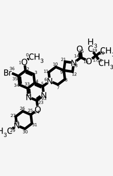 COc1cc2c(N3CCC4(CC3)CN(C(=O)OC(C)(C)C)C4)nc(OC3CCN(C)CC3)nc2cc1Br